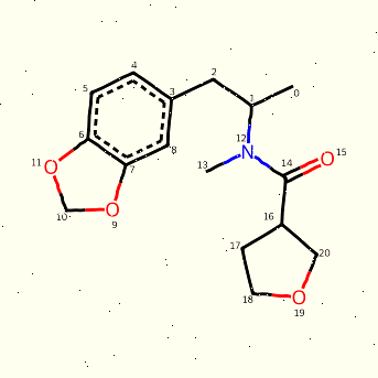 CC(Cc1ccc2c(c1)OCO2)N(C)C(=O)C1CCOC1